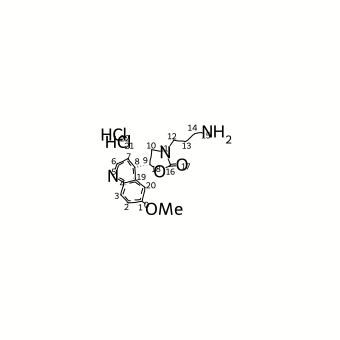 COc1ccc2nccc([C@@H]3CN(CCCN)C(=O)O3)c2c1.Cl.Cl